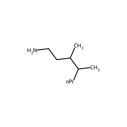 CCCC(C)C(C)CCN